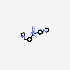 c1cc(CN2CCCC2)cc(-c2n[nH]c(-c3ccc(-n4cccc4)cc3)n2)c1